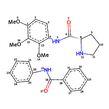 COc1ccc(NC(=O)[C@@H]2CCCN2)c(OC)c1OC.O=C(Nc1ccccc1)c1ccccc1